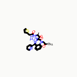 C[C@H](NC(=O)Cc1cccs1)C(=O)C1(N)N=C(c2ccccn2)c2ccccc2N(CC(=O)C(C)(C)C)C1=O